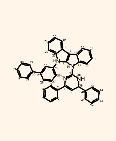 C1=C(c2ccccc2)N=C(n2c3ccccc3c3c4ccccc4n(-c4cccc(-c5ccccc5)c4)c32)NC1c1ccccc1